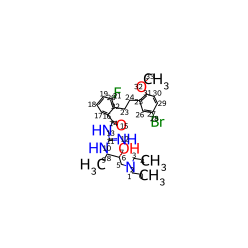 CCN(CC)CC(O)C(C)NC(=N)NC(=O)c1cccc(F)c1CCc1cc(Br)ccc1OC